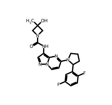 CC1(O)CN(C(=O)Nc2cnn3ccc(N4CCCC4c4cc(F)ccc4F)nc23)C1